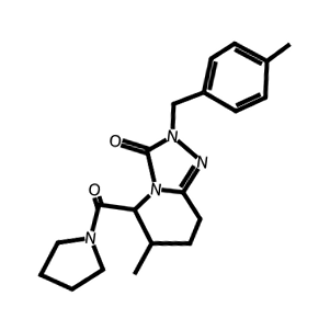 Cc1ccc(Cn2nc3n(c2=O)C(C(=O)N2CCCC2)C(C)CC3)cc1